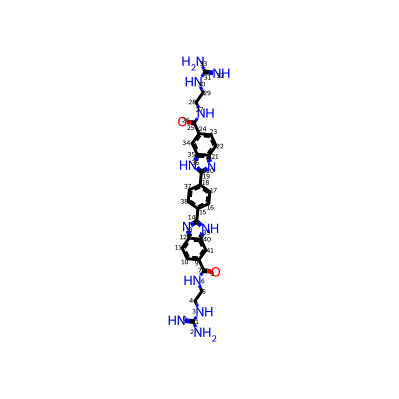 N=C(N)NCCNC(=O)c1ccc2nc(-c3ccc(-c4nc5ccc(C(=O)NCCNC(=N)N)cc5[nH]4)cc3)[nH]c2c1